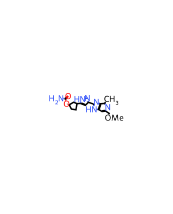 COCc1cc2[nH]c(-c3cc(C4CC[C@H](OC(N)=O)C4)[nH]n3)nc2c(C)n1